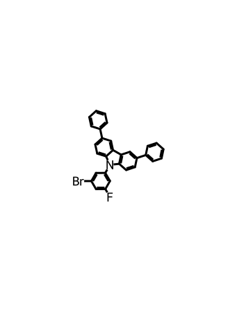 Fc1cc(Br)cc(-n2c3ccc(-c4ccccc4)cc3c3cc(-c4ccccc4)ccc32)c1